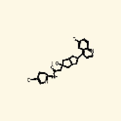 O=C(CC1(O)CC2CC(c3ccnc4ccc(F)cc34)CC2C1)Nc1ccc(Cl)cn1